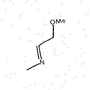 CN=CCOC